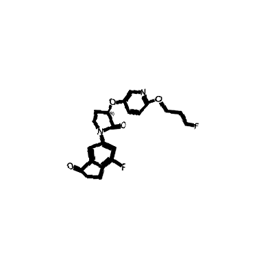 O=C1CCc2c(F)cc(N3CC[C@@H](Oc4ccc(OCCCF)nc4)C3=O)cc21